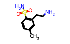 Cc1ccc(S(N)(=O)=O)c(CCN)c1